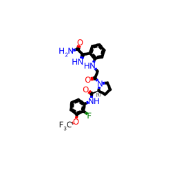 N=C(C(N)=O)c1ccccc1NCC(=O)N1CCC[C@H]1C(=O)Nc1cccc(OC(F)(F)F)c1F